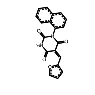 O=C1NC(=O)N(c2cccc3ccccc23)C(=O)/C1=C/c1ccco1